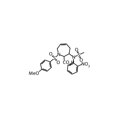 COc1ccc(S(=O)(=O)N2CC=CCC(N(c3ccccc3[N+](=O)[O-])S(C)(=O)=O)C2C(=O)O)cc1